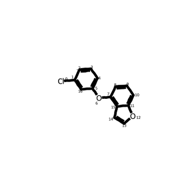 Clc1[c]ccc(Oc2cccc3occc23)c1